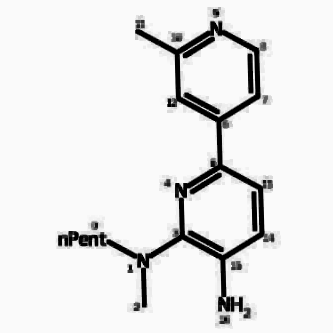 CCCCCN(C)c1nc(-c2ccnc(C)c2)ccc1N